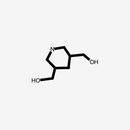 OCC1[CH]C(CO)C[N]C1